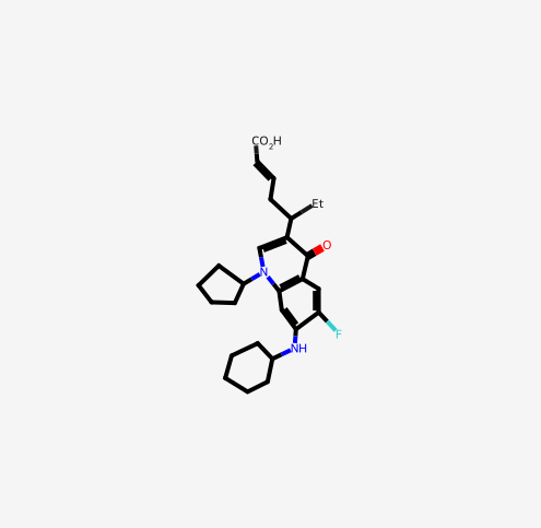 CCC(C/C=C/C(=O)O)c1cn(C2CCCC2)c2cc(NC3CCCCC3)c(F)cc2c1=O